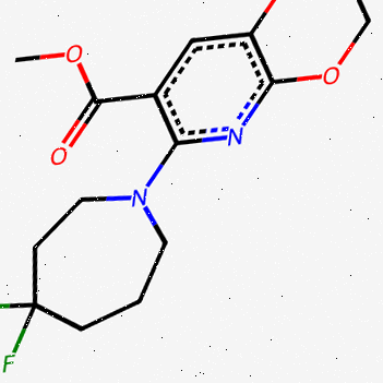 COC(=O)c1cc2c(nc1N1CCCC(F)(F)CC1)OCCO2